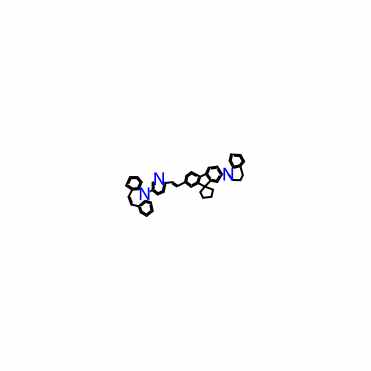 C1=Cc2ccccc2N(c2ccc(/C=C/c3ccc4c(c3)C3(CCCC3)c3cc(N5CCCc6ccccc65)ccc3-4)nc2)c2ccccc21